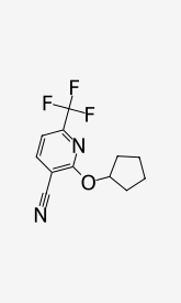 N#Cc1ccc(C(F)(F)F)nc1OC1CCCC1